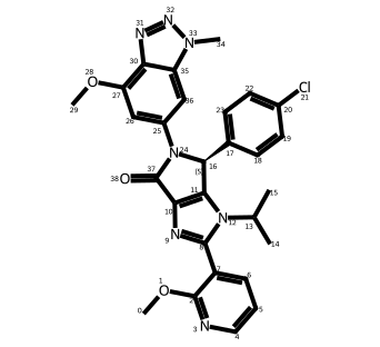 COc1ncccc1-c1nc2c(n1C(C)C)[C@H](c1ccc(Cl)cc1)N(c1cc(OC)c3nnn(C)c3c1)C2=O